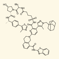 Cc1ncsc1-c1ccc([C@H](C)NC(=O)[C@@H]2C[C@@H](O)CN2C(=O)C(NC(=O)CCCS(=O)(=O)NC(=O)c2nc(N3CCc4cccc(C(=O)Nc5nc6ccccc6s5)c4C3)ccc2-c2cnn(CC34CC5CC(CC(C5)C3)C4)c2C)C(C)(C)C)cc1